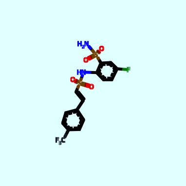 NS(=O)(=O)c1cc(F)ccc1NS(=O)(=O)C=Cc1ccc(C(F)(F)F)cc1